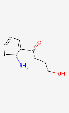 Nc1ccccc1C(=O)CCCO